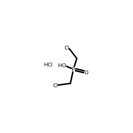 Cl.O=P(O)(CCl)CCl